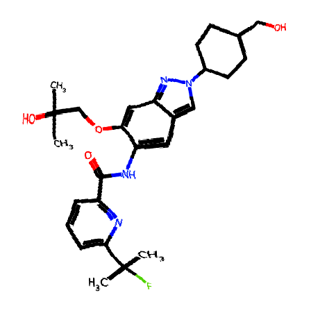 CC(C)(O)COc1cc2nn(C3CCC(CO)CC3)cc2cc1NC(=O)c1cccc(C(C)(C)F)n1